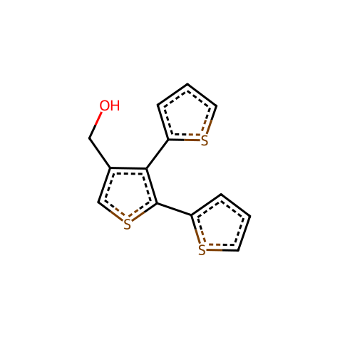 OCc1csc(-c2cccs2)c1-c1cccs1